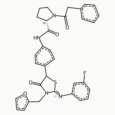 O=C(Nc1ccc(C2S/C(=N\c3cccc(F)c3)N(Cc3ccco3)C2=O)cc1)[C@@H]1CCCN1C(=O)Cc1ccccc1